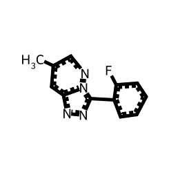 Cc1cnn2c(-c3ccccc3F)nnc2c1